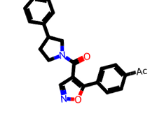 CC(=O)c1ccc(-c2oncc2C(=O)N2CCC(c3ccccc3)C2)cc1